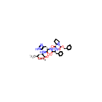 CC(C)C[C@H](NC(=O)[C@H](Cc1c[nH]cn1)NC(=O)[C@H](Cc1ccccc1)NC(=O)[C@@H]1CCCN1C(=O)OCc1ccccc1)C(=O)O